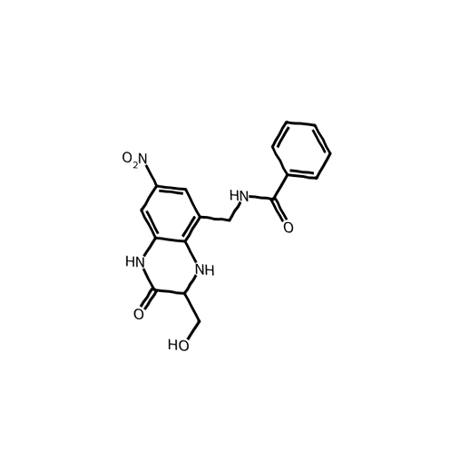 O=C(NCc1cc([N+](=O)[O-])cc2c1NC(CO)C(=O)N2)c1ccccc1